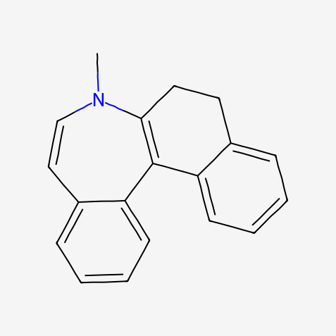 CN1C=Cc2ccccc2C2=C1CCc1ccccc12